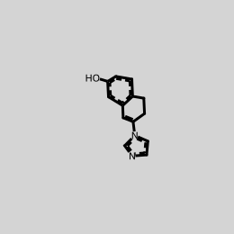 Oc1ccc2c(c1)C=C(n1ccnc1)CC2